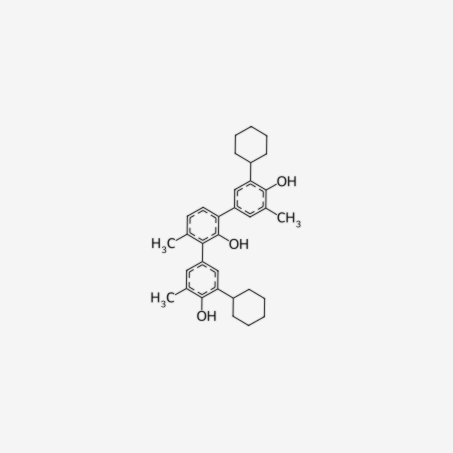 Cc1cc(-c2ccc(C)c(-c3cc(C)c(O)c(C4CCCCC4)c3)c2O)cc(C2CCCCC2)c1O